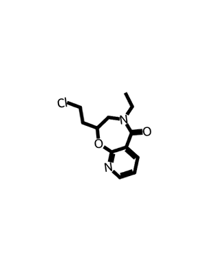 CCN1CC(CCCl)Oc2ncccc2C1=O